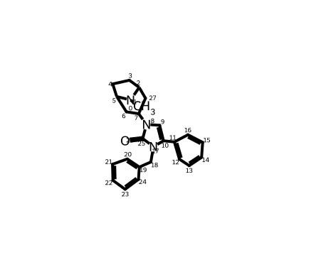 CN1C2CCC1CC(n1cc(-c3ccccc3)n(Cc3ccccc3)c1=O)C2